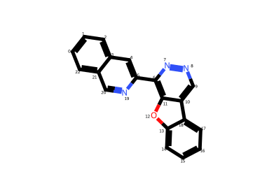 c1ccc2cc(-c3nncc4c3oc3ccccc34)ncc2c1